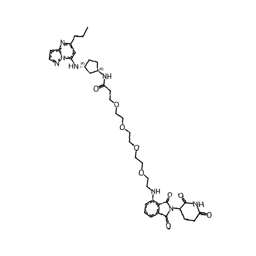 CCCc1cc(N[C@@H]2CC[C@@H](NC(=O)CCOCCOCCOCCOCCNc3cccc4c3C(=O)N(C3CCC(=O)NC3=O)C4=O)C2)n2nccc2n1